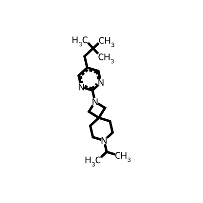 CC(C)N1CCC2(CC1)CN(c1ncc(CC(C)(C)C)cn1)C2